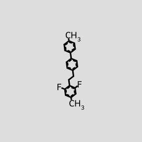 Cc1ccc(-c2ccc(CCc3c(F)cc(C)cc3F)cc2)cc1